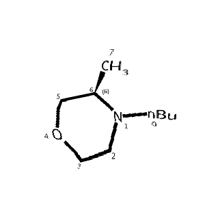 CCCCN1CCOC[C@H]1C